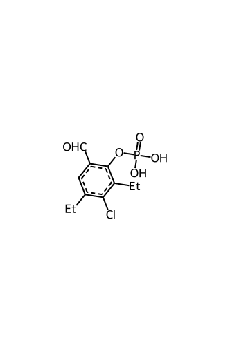 CCc1cc(C=O)c(OP(=O)(O)O)c(CC)c1Cl